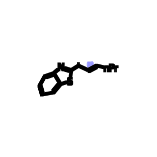 CCC/C=C/[CH]c1nc2ccccc2s1